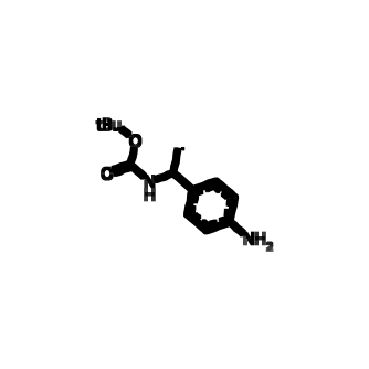 [CH2]C(NC(=O)OC(C)(C)C)c1ccc(N)cc1